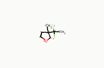 CC(F)(F)C1(C)CCOC1